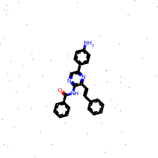 Nc1ccc(-c2cnc(NC(=O)c3ccccc3)c(/C=C/c3ccccc3)n2)cc1